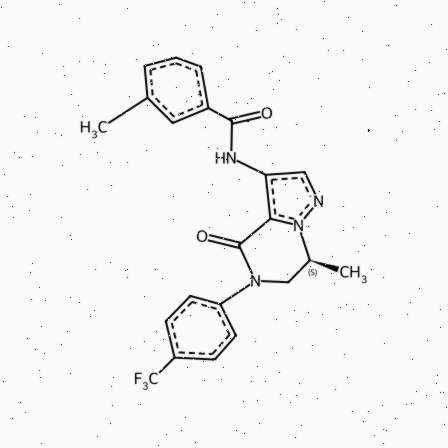 Cc1cccc(C(=O)Nc2cnn3c2C(=O)N(c2ccc(C(F)(F)F)cc2)C[C@@H]3C)c1